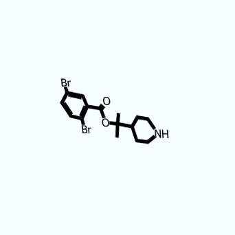 CC(C)(OC(=O)c1cc(Br)ccc1Br)C1CCNCC1